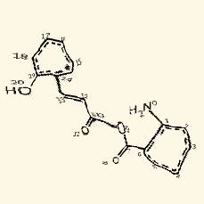 Nc1ccccc1C(=O)OC(=O)C=Cc1ccccc1O